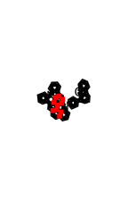 c1ccc(-c2ccccc2N(c2ccc(-c3cccc4c3oc3ccccc34)cc2)c2ccccc2-c2ccc(-c3ccccc3-n3c4ccccc4c4ccccc43)cc2)cc1